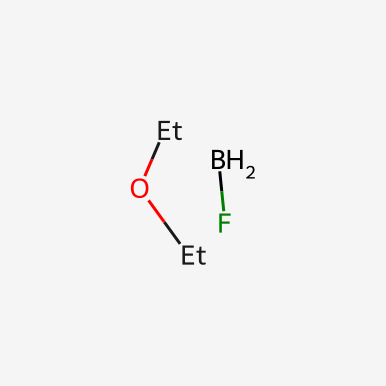 BF.CCOCC